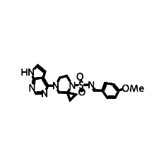 COc1ccc(C=NS(=O)(=O)N2CCN(c3ncnc4[nH]ccc34)CC23CC3)cc1